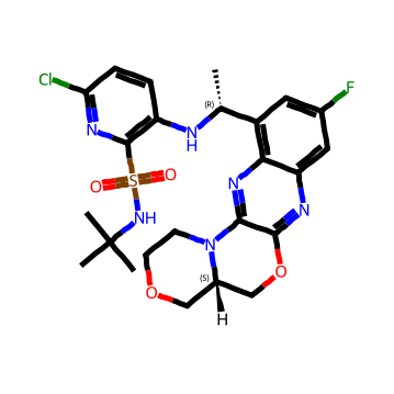 C[C@@H](Nc1ccc(Cl)nc1S(=O)(=O)NC(C)(C)C)c1cc(F)cc2nc3c(nc12)N1CCOC[C@H]1CO3